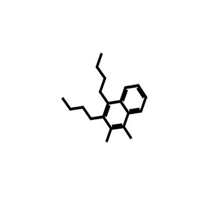 CCCCc1c(C)c(C)c2ccccc2c1CCCC